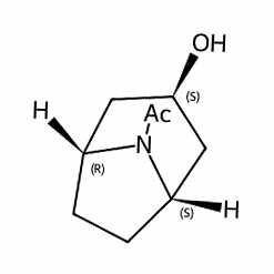 CC(=O)N1[C@@H]2CC[C@H]1C[C@H](O)C2